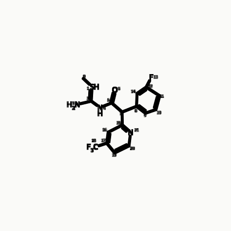 C[SH]=C(N)NC(=O)C(c1cccc(F)c1)c1cc(C(F)(F)F)ccn1